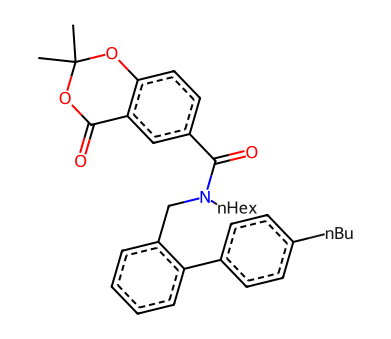 CCCCCCN(Cc1ccccc1-c1ccc(CCCC)cc1)C(=O)c1ccc2c(c1)C(=O)OC(C)(C)O2